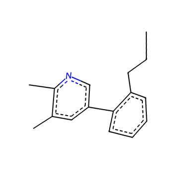 CCCc1ccccc1-c1cnc(C)c(C)c1